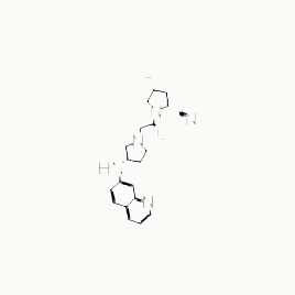 N#C[C@@H]1C[C@H](F)CN1C(=O)CN1CC[C@@H](Nc2ccc3cccnc3c2)C1